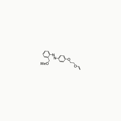 C=COCCOc1ccc(/N=N/c2ccccc2COC)cc1